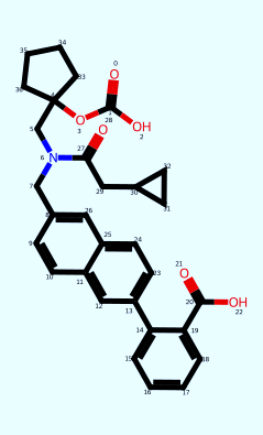 O=C(O)OC1(CN(Cc2ccc3cc(-c4ccccc4C(=O)O)ccc3c2)C(=O)CC2CC2)CCCC1